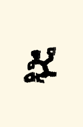 CC(C=O)C(CCl)[SH](=O)=O